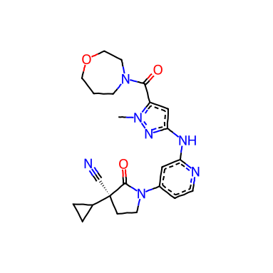 Cn1nc(Nc2cc(N3CC[C@@](C#N)(C4CC4)C3=O)ccn2)cc1C(=O)N1CCCOCC1